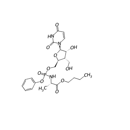 CCCCOC(=O)[C@H](C)NP(=O)(OC[C@H]1O[C@@H](n2ccc(=O)[nH]c2=O)[C@H](O)[C@@H]1CO)Oc1ccccc1